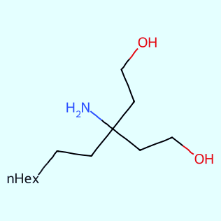 CCCCCCCCC(N)(CCO)CCO